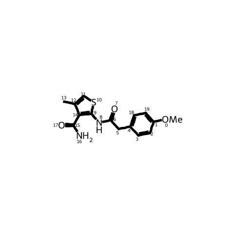 COc1ccc(CC(=O)Nc2scc(C)c2C(N)=O)cc1